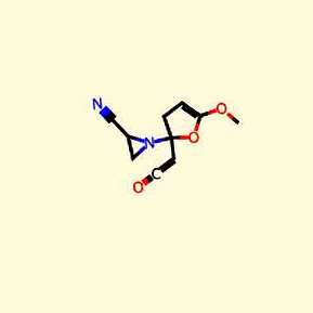 COC1=CCC(C=C=O)(N2CC2C#N)O1